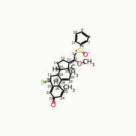 CO/C(C[S+]([O-])c1ccccc1)=C1/CC[C@H]2[C@@H]3C[C@H](F)C4=CC(=O)C=C[C@]4(C)C3=CC[C@]12C